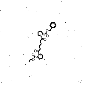 CCOC(=O)[C@H]1CCCN1C(=O)CCCCC(=O)N1CCC[C@@H]1C(=O)OCc1ccccc1